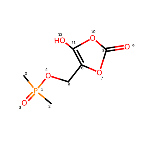 CP(C)(=O)OCc1oc(=O)oc1O